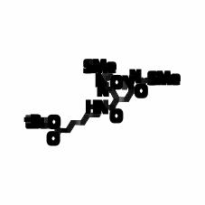 CSc1nnc(CC(C(=O)NCCCCCC(=O)OC(C)(C)C)c2nnc(SC)o2)o1